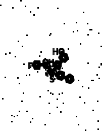 CN1C(=S)N(c2ccc(-c3ccccc3)cc2)C(c2ccc(-c3cccc(O)c3)cc2O)C1CCC(O)c1ccc(F)cc1